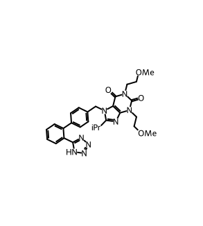 COCCn1c(=O)c2c(nc(C(C)C)n2Cc2ccc(-c3ccccc3-c3nnn[nH]3)cc2)n(CCOC)c1=O